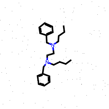 CCCCN(CCN(CCCC)Cc1ccccc1)Cc1ccccc1